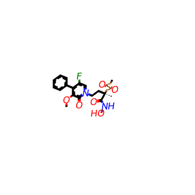 COc1c(-c2ccccc2)c(F)cn(CC[C@](C)(C(=O)NO)S(C)(=O)=O)c1=O